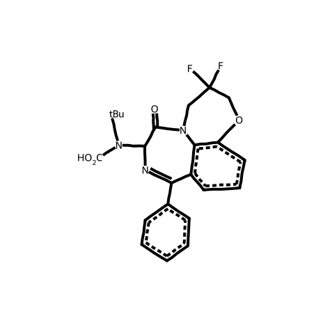 CC(C)(C)N(C(=O)O)C1N=C(c2ccccc2)c2cccc3c2N(CC(F)(F)CO3)C1=O